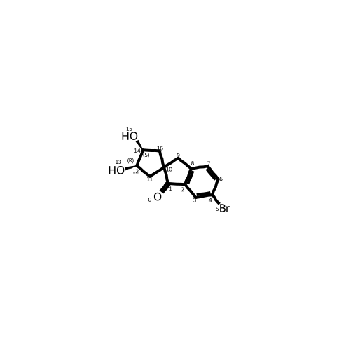 O=C1c2cc(Br)ccc2CC12C[C@@H](O)[C@@H](O)C2